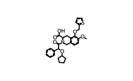 COc1ccc2c(c1OCc1cccs1)CC(C(=O)O)N(C(=O)C(OC1CCCC1)c1ccccc1)C2